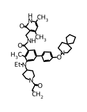 C=CC(=O)N1CCC(N(CC)c2cc(-c3ccc(ON4CCC5(CCCC5)CC4)cc3)cc(C(=O)NCc3c(C)cc(C)[nH]c3=O)c2C)CC1